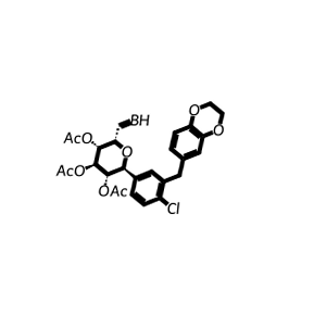 B=C[C@@H]1O[C@@H](c2ccc(Cl)c(Cc3ccc4c(c3)OCCO4)c2)[C@H](OC(C)=O)[C@@H](OC(C)=O)[C@@H]1OC(C)=O